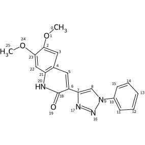 COc1cc2cc(-c3cn(-c4ccccc4)nn3)c(=O)[nH]c2cc1OC